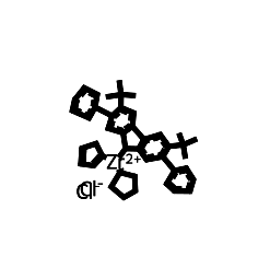 CC(C)(C)c1cc2c(cc1-c1ccccc1)[CH]([Zr+2]([C]1=CC=CC1)=[C]1CCCC1)c1cc(-c3ccccc3)c(C(C)(C)C)cc1-2.[Cl-].[Cl-]